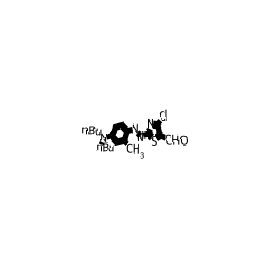 CCCCN(CCCC)c1ccc(N=Nc2nc(Cl)c(C=O)s2)c(C)c1